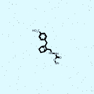 CCCOC(=O)NNCC1C2CCC(O2)C1Cc1ccc(C(=O)O)cc1